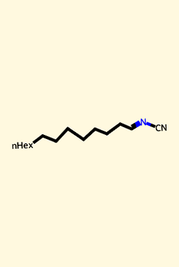 CCCCCCCCCCCCCC=NC#N